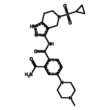 CN1CCN(c2ccc(C(=O)Nc3n[nH]c4c3CN(S(=O)(=O)C3CC3)CC4)c(C(N)=O)c2)CC1